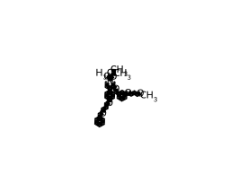 COCCCOc1cccc(COC2CN(C(=O)OC(C)(C)C)CCC2c2ccc(OCCCOCc3ccccc3)cc2)c1